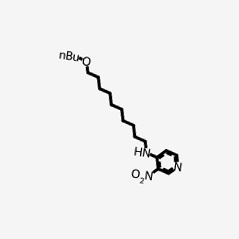 CCCCOCCCCCCCCCCNc1ccncc1[N+](=O)[O-]